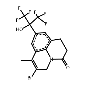 CC1=C(Br)CN2C(=O)CCc3cc(C(O)(C(F)(F)F)C(F)(F)F)cc1c32